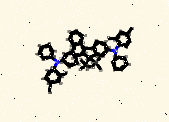 Cc1ccc(N(c2ccccc2)c2ccc3c(c2)C([Si](C)(C)C)([Si](C)(C)C)c2c-3c3ccccc3c3cc(N(c4ccccc4)c4ccc(C)cc4C)ccc23)c(C)c1